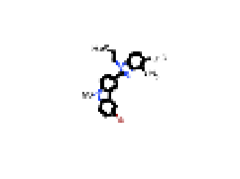 CCn1c2ccc(Br)cc2c2cc(-c3nc4c(C)c(C=O)ccc4n3CCOC)ccc21